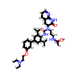 CCN(CC)CCOc1cccc(-c2cc(C(C)C)c(NC(=O)N(CCCNC(C)=O)c3cc4cccnc4[nH]c3=O)c(C(C)C)c2)c1